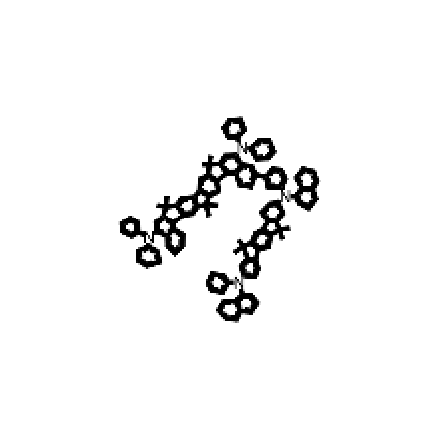 CC1(C)c2cc(N(c3ccccc3)c3cccc4ccccc34)ccc2-c2cc3c(cc21)-c1ccc(N(c2cccc(-c4ccc5c6c(cc(N(c7ccccc7)c7ccccc7)c5c4)C(C)(C)c4cc5c(cc4-6)C(C)(C)c4cc6c(cc4-5)C(C)(C)c4cc(N(c5ccccc5)c5ccccc5)c5ccccc5c4-6)c2)c2cccc4ccccc24)cc1C3(C)C